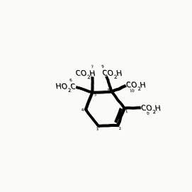 O=C(O)C1=CCCC(C(=O)O)(C(=O)O)C1(C(=O)O)C(=O)O